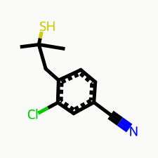 CC(C)(S)Cc1ccc(C#N)cc1Cl